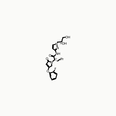 CC(C)C[C@@H](C(=O)Nc1ccn(C[C@@H](O)CO)n1)N1CC(Oc2ccccc2F)=CC1=O